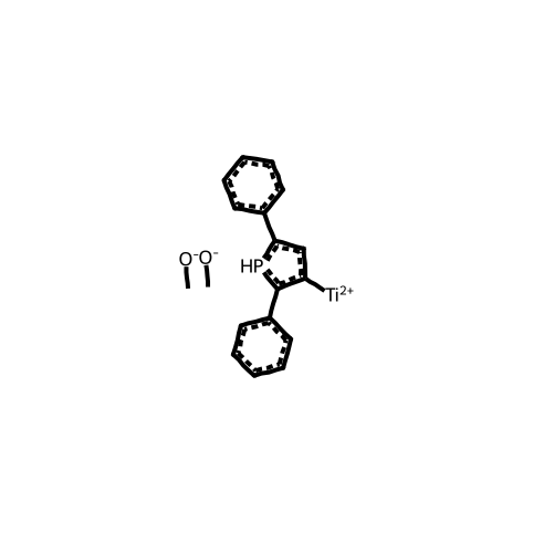 C[O-].C[O-].[Ti+2][c]1cc(-c2ccccc2)[pH]c1-c1ccccc1